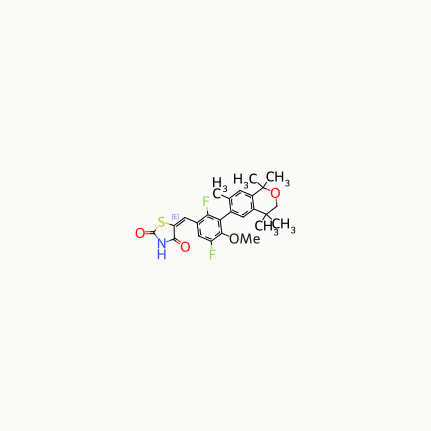 COc1c(F)cc(/C=C2/SC(=O)NC2=O)c(F)c1-c1cc2c(cc1C)C(C)(C)OCC2(C)C